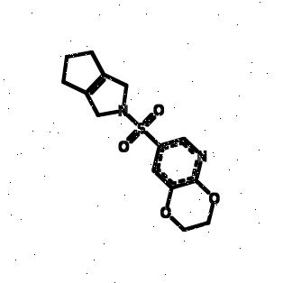 O=S(=O)(c1cnc2c(c1)OCCO2)N1CC2=C(CCC2)C1